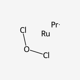 ClOCl.[Pr].[Ru]